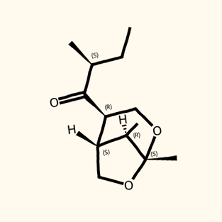 CC[C@H](C)C(=O)[C@H]1CO[C@]2(C)OC[C@H]1[C@H]2C